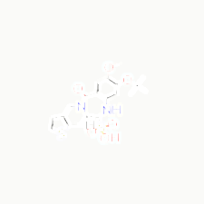 COc1cc2c(cc1OC(C)(C)C)NC(S(=O)(=O)O)[C@@H]1Cc3sccc3CN1C2=O